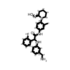 Cc1cc(NC(=O)C(Nc2cccc(CN)c2)c2ccccc2F)ccc1N1CCCCC1=NO